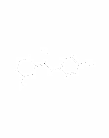 CC(C)N1CCOC(=COc2ccc(N)cc2)C1.Cl